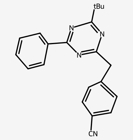 CC(C)(C)c1nc(Cc2ccc(C#N)cc2)nc(-c2ccccc2)n1